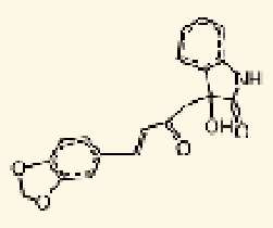 O=C(/C=C/c1ccc2c(c1)OCO2)CC1(O)C(=O)Nc2ccccc21